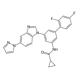 O=C(Nc1cc(-c2ccc(F)cc2F)cc(-n2cnc3cc(-n4cccn4)ccc32)c1)C1CC1